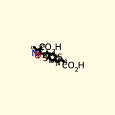 Cc1noc(-c2cc3cc4sc(CC(=O)O)cc4cc3s2)c1C(=O)O